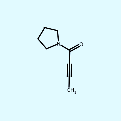 CC#CC(=O)N1C[CH]CC1